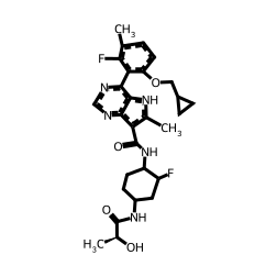 Cc1ccc(OCC2CC2)c(-c2ncnc3c(C(=O)NC4CCC(NC(=O)[C@H](C)O)CC4F)c(C)[nH]c23)c1F